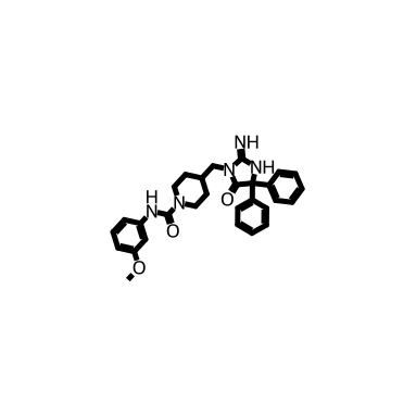 COc1cccc(NC(=O)N2CCC(CN3C(=N)NC(c4ccccc4)(c4ccccc4)C3=O)CC2)c1